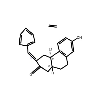 C=C.CC[C@@]12C/C(=C\c3ccccc3)C(=O)C[C@H]1CCc1cc(O)ccc12